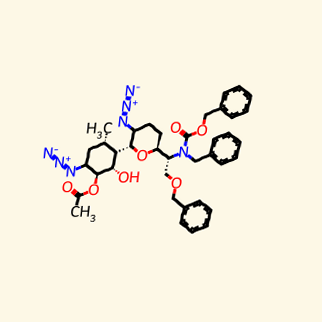 CC(=O)O[C@H]1C(N=[N+]=[N-])C[C@H](C)C([C@H]2O[C@H]([C@@H](COCc3ccccc3)N(Cc3ccccc3)C(=O)OCc3ccccc3)CCC2N=[N+]=[N-])[C@@H]1O